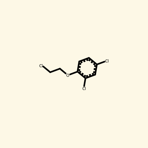 ClCCOc1ccc(Cl)cc1Cl